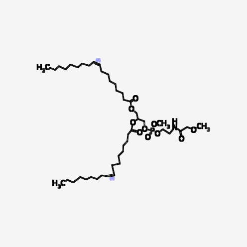 CCCCCCCC/C=C\CCCCCCCC(=O)OCC(COP(=O)(OC)OCCNC(=O)COC)OC(=O)CCCCCCC/C=C\CCCCCCCC